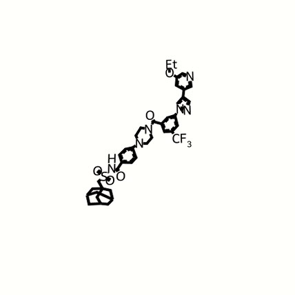 CCOc1cncc(-c2cnn(-c3cc(C(=O)N4CCN(c5ccc(C(=O)NS(=O)(=O)CC67CC8CC(CC(C8)C6)C7)cc5)CC4)cc(C(F)(F)F)c3)c2)c1